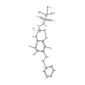 Cc1c(C)c2c(c(C)c1OCc1ccccc1)CC[C@](C)(COS(=O)(=O)C(F)(F)F)O2